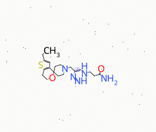 CCc1cc2c(s1)CCOC21CCN(C/C(=C/NCCC(N)=O)N=N)CC1